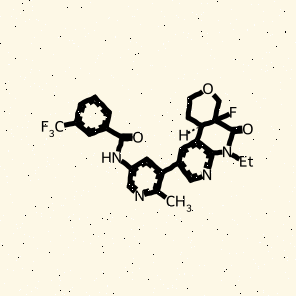 CCN1C(=O)C2(F)COCC[C@@H]2c2cc(-c3cc(NC(=O)c4cccc(C(F)(F)F)c4)cnc3C)cnc21